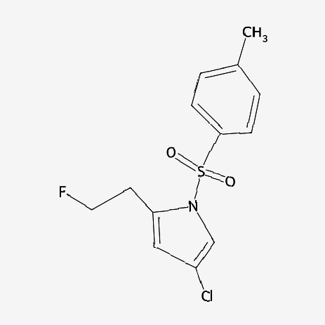 Cc1ccc(S(=O)(=O)n2cc(Cl)cc2CCF)cc1